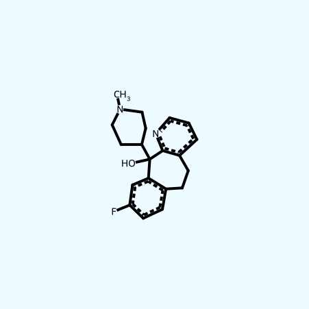 CN1CCC(C2(O)c3cc(F)ccc3CCc3cccnc32)CC1